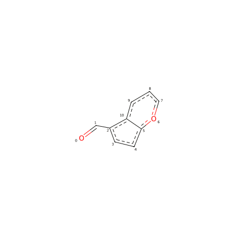 O=Cc1ccc2occcc1-2